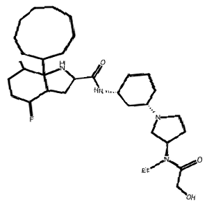 CCN(C(=O)CO)[C@@H]1CCN([C@H]2CCC[C@@H](NC(=O)C3CC4C(F)CCC(C)C4(C4CCCCCCCC4)N3)C2)C1